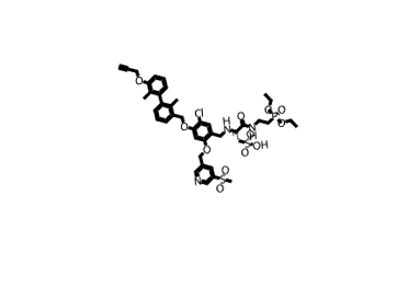 C#CCOc1cccc(-c2cccc(COc3cc(OCc4cncc(S(C)(=O)=O)c4)c(CN[C@@H](CS(=O)(=O)O)C(=O)NCCP(=O)(OCC)OCC)cc3Cl)c2C)c1C